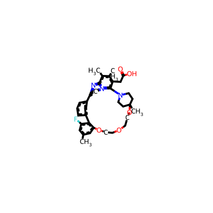 Cc1cc(F)c2c(c1)OCCOCCOC1(C)CCN(CC1)c1c(CC(=O)O)c(C)c(C)c3nc(cn13)-c1cccc-2c1